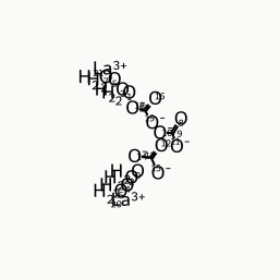 O.O.O.O.O.O.O.O.O=C([O-])[O-].O=C([O-])[O-].O=C([O-])[O-].[La+3].[La+3]